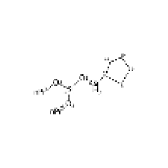 CCCO[Si](OCCC)O[SiH2]C1CCCC1